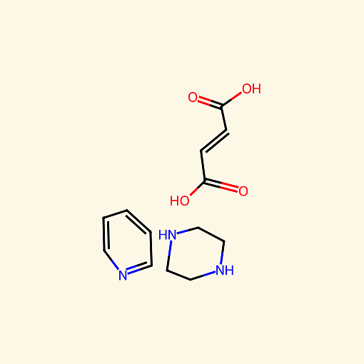 C1CNCCN1.O=C(O)/C=C/C(=O)O.c1ccncc1